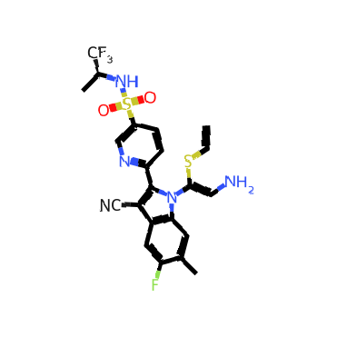 C=CS/C(=C\N)n1c(-c2ccc(S(=O)(=O)N[C@@H](C)C(F)(F)F)cn2)c(C#N)c2cc(F)c(C)cc21